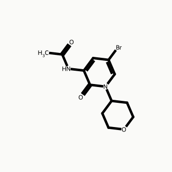 CC(=O)Nc1cc(Br)cn(C2CCOCC2)c1=O